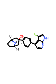 CN1[C@@H]2CC[C@H]1CC(O)(c1ccc(-c3ccnc4[nH]cc(F)c34)cc1)C2